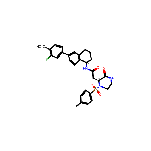 Cc1ccc(S(=O)(=O)N2CCNC(=O)[C@@H]2CC(=O)N[C@@H]2CCCc3cc(-c4ccc(C(=O)O)c(F)c4)ccc32)cc1